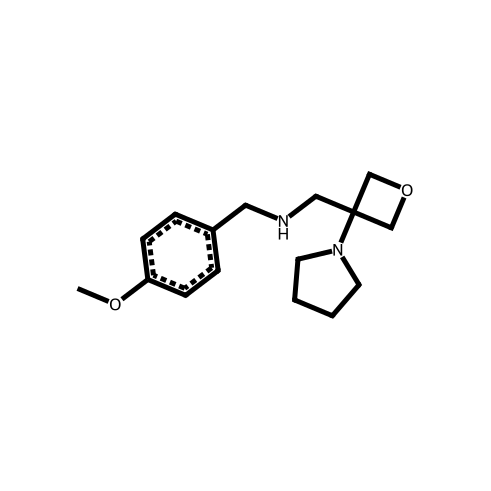 COc1ccc(CNCC2(N3CCCC3)COC2)cc1